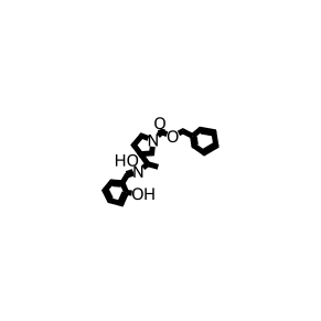 CC(/N=C/c1ccccc1O)C1(O)CCN(C(=O)OCc2ccccc2)C1